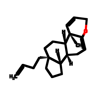 C=CCC[C@@]12CCC[C@H]1[C@@H]1CC=C3OCC=C[C@]3(C)[C@H]1CC2